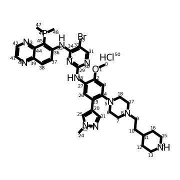 COc1cc(N2CCN(CCC3CCNCC3)CC2)c(-c2cnn(C)c2)cc1Nc1ncc(Br)c(Nc2ccc3nccnc3c2P(C)C)n1.Cl